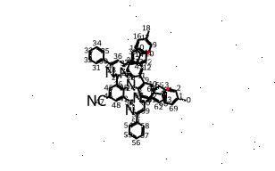 Cc1ccc(-c2ccc3c(c2)c2cc(-c4ccc(C)cc4)ccc2n3-c2c(-c3nc(-c4ccccc4)cc(-c4ccccc4)n3)cc(C#N)cc2-c2nc(-c3ccccc3)cc(-c3ccccc3)n2)cc1